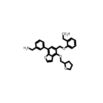 NCc1cccc(-c2cc(COc3ccccc3CC(=O)O)c(OCC3CCCO3)c3ccoc23)c1